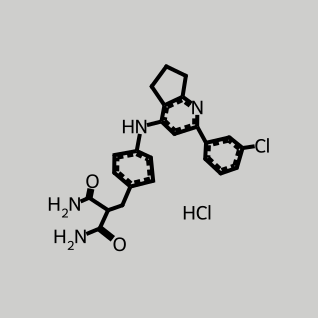 Cl.NC(=O)C(Cc1ccc(Nc2cc(-c3cccc(Cl)c3)nc3c2CCC3)cc1)C(N)=O